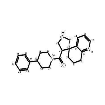 O=C(C1CNC[C@]12CCCc1ncccc12)N1CCC(c2ccccc2)CC1